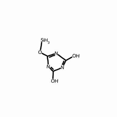 Oc1nc(O)nc(O[SiH3])n1